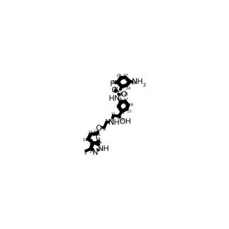 Cc1n[nH]c2cc(OCCNCC(O)c3cccc(NS(=O)(=O)c4cc(N)ccc4F)c3)ccc12